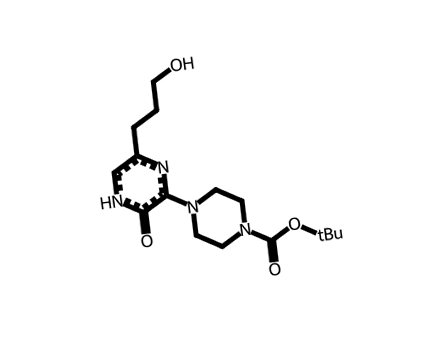 CC(C)(C)OC(=O)N1CCN(c2nc(CCCO)c[nH]c2=O)CC1